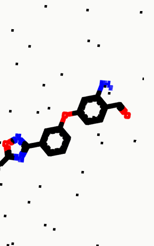 Cc1nc(-c2cccc(Oc3ccc(C=O)c(N)c3)c2)no1